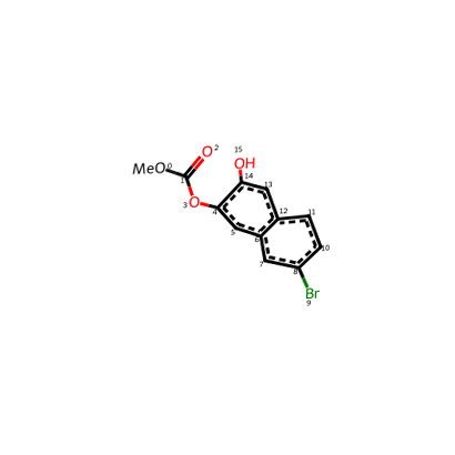 COC(=O)Oc1cc2cc(Br)ccc2cc1O